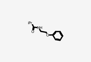 CC(C)C(=O)NCCOc1ccccc1